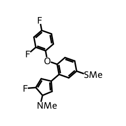 CNC1C=C(c2cc(SC)ccc2Oc2ccc(F)cc2F)C=C1F